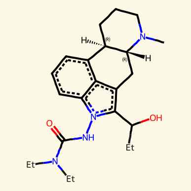 CCC(O)c1c2c3c(cccc3n1NC(=O)N(CC)CC)[C@H]1CCCN(C)[C@@H]1C2